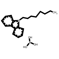 CCCCCCCCn1c2ccccc2c2ccccc21.OB(O)O